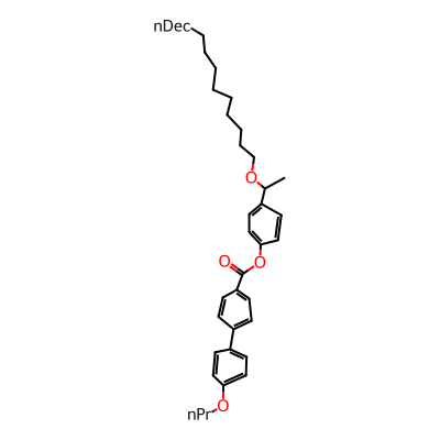 CCCCCCCCCCCCCCCCCCCOC(C)c1ccc(OC(=O)c2ccc(-c3ccc(OCCC)cc3)cc2)cc1